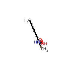 CCCCCCC=CCCCCCCCC(=O)NC(CCSC)C(=O)O